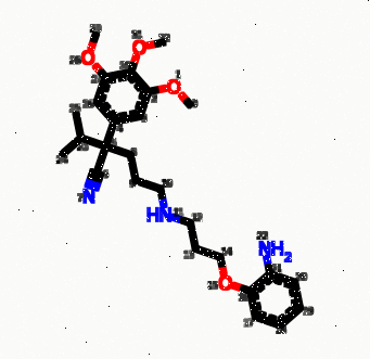 COc1cc(C(C#N)(CCCNCCCOc2ccccc2N)C(C)C)cc(OC)c1OC